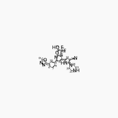 Cc1nnc(-c2cccc(-c3cc(-c4cc(C#N)c(N5CCNCC5)[nH]4)ccn3)c2)o1.O=C(O)C(F)(F)F